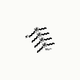 CCCCCCOP([O-])(=S)SCCCCCC.CCCCCCOP([O-])(=S)SCCCCCC.CCCCCCOP([O-])(=S)SCCCCCC.CCCCCCOP([O-])(=S)SCCCCCC.O=S.[Mo+4]